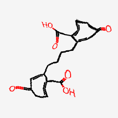 O=C1C=C(CCCCC2=CC(=O)CC=C2C(=O)O)C(C(=O)O)=CC1